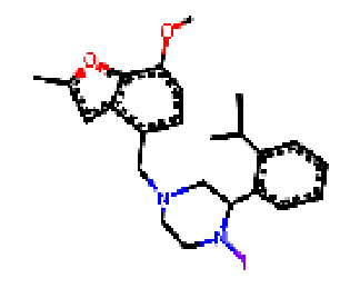 COc1ccc(CN2CCN(I)C(c3ccccc3C(C)C)C2)c2cc(C)oc12